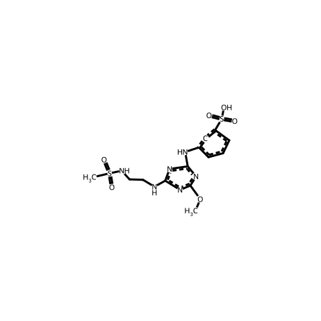 COc1nc(NCCNS(C)(=O)=O)nc(Nc2cccc(S(=O)(=O)O)c2)n1